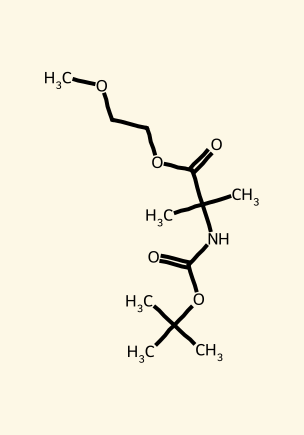 COCCOC(=O)C(C)(C)NC(=O)OC(C)(C)C